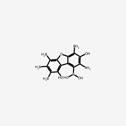 Bc1c(B)c(O)c2c(oc3c(B)c(O)c(B)c(B(O)O)c32)c1B